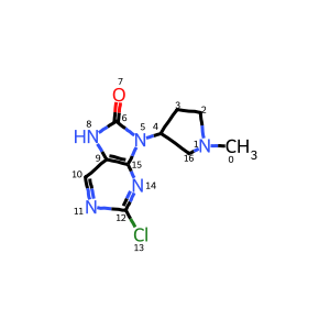 CN1CCC(n2c(=O)[nH]c3cnc(Cl)nc32)C1